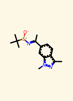 CC(=N[S@+]([O-])C(C)(C)C)c1ccc2c(C)nn(C)c2c1